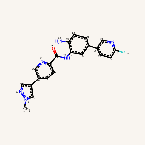 Cn1cc(-c2ccc(C(=O)Nc3cc(-c4ccc(F)nc4)ccc3N)nc2)cn1